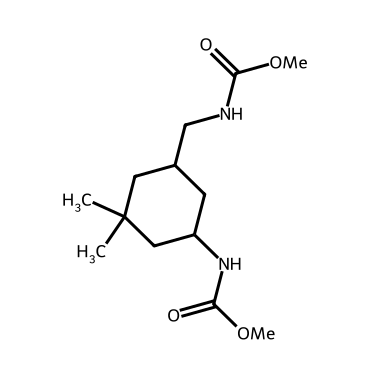 COC(=O)NCC1CC(NC(=O)OC)CC(C)(C)C1